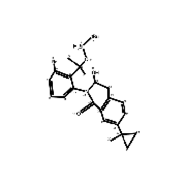 CC(C)(C)[SiH2]OC(C)(C)c1c(Br)cccc1N1C(=O)c2cc(C3(C)CC3)ccc2CC1O